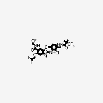 Cn1c(Nc2c(Cl)ccc(CNC(=O)C(C)(C)C(F)(F)F)c2Cl)nc2cc(C(=O)NCC(F)(F)F)c(OCC(F)F)cc21